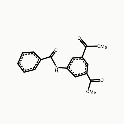 COC(=O)c1cc(NC(=O)c2ccccc2)cc(C(=O)OC)c1